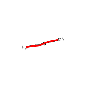 CCCCCCCCCCCCCCCCCCCCCCCCCCCCCOC(=O)CCCCCCCCCCCCCCCCCCCCCCCCCCCCC